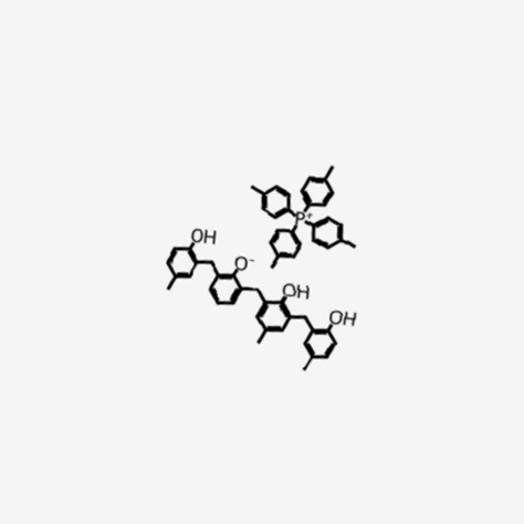 Cc1ccc(O)c(Cc2cccc(Cc3cc(C)cc(Cc4cc(C)ccc4O)c3O)c2[O-])c1.Cc1ccc([P+](c2ccc(C)cc2)(c2ccc(C)cc2)c2ccc(C)cc2)cc1